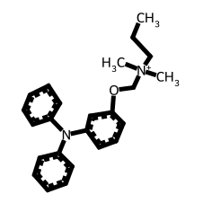 CCC[N+](C)(C)COc1cccc(N(c2ccccc2)c2ccccc2)c1